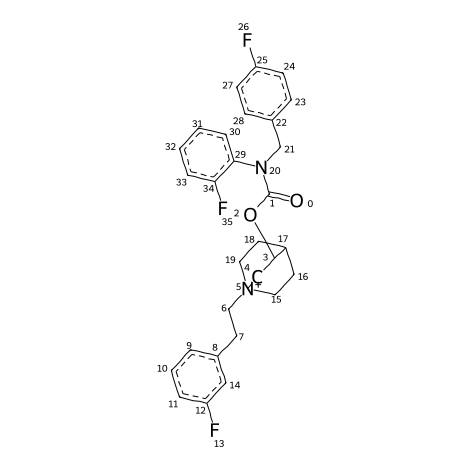 O=C(OC1C[N+]2(CCc3cccc(F)c3)CCC1CC2)N(Cc1ccc(F)cc1)c1ccccc1F